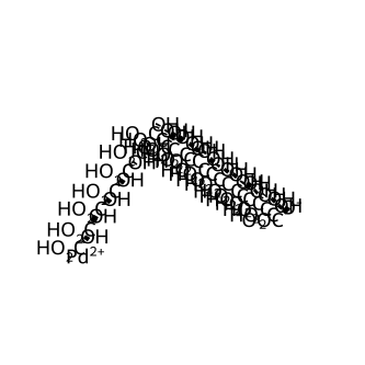 O=C(O)O.O=C(O)O.O=C(O)O.O=C(O)O.O=C(O)O.O=C(O)O.O=C(O)O.O=C(O)O.O=C(O)O.O=C(O)O.O=C(O)O.O=C(O)O.O=C(O)O.O=C(O)O.O=C(O)O.O=C(O)O.O=C(O)O.O=C(O)O.O=C(O)O.O=C(O)O.O=C(O)O.O=C(O)O.O=C(O)O.O=C([O-])[O-].[Pd+2]